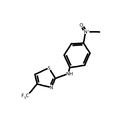 C[N+](=O)c1ccc(Nc2nc(C(F)(F)F)cs2)cc1